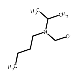 CCCCN(C[O])C(C)C